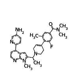 Cc1cc(C(=O)N(C)C)cc(F)c1C1=CCN([C@@H](C)c2cc3c(-c4ccc(N)cn4)ccnc3n2C)CC1